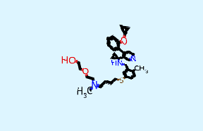 Cc1ccc(SCCCCN(C)CCOCCO)cc1CNC1(c2cnccc2-c2ccccc2OC2CC2)CC1